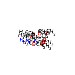 COC(=O)C1=C(C)N(C(=O)C(C)(CN)CC(=O)OC(C)(C)C)C(C)=CC1c1c(OC)cc(OC)cc1OC